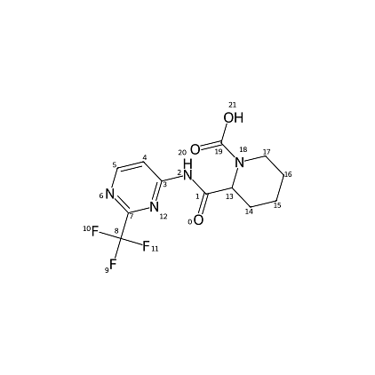 O=C(Nc1ccnc(C(F)(F)F)n1)C1CCCCN1C(=O)O